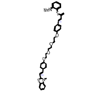 C=C(/C=C/c1ccc(OCCOCCOCCOC2=CCC(/C=C/C3Sc4ccccc4N3C)C=C2)cc1)Sc1ccccc1NC